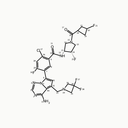 Nc1ncnn2c(-c3cc(C(=O)N[C@@H]4CN(C(=O)C5CC(F)C5)C[C@@H]4F)c(Cl)cc3F)cc(CN3CC(F)(F)C3)c12